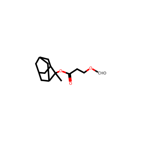 CC1(OC(=O)CCOC=O)C2CC3CC(C2)CC1C3